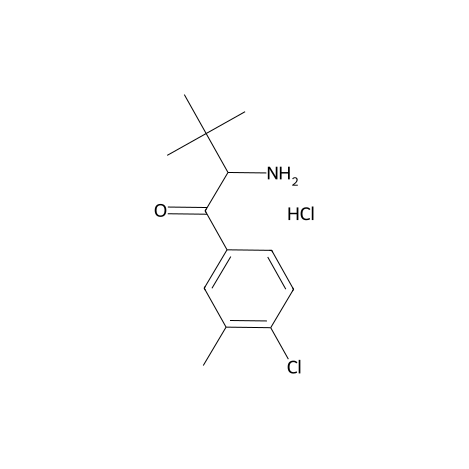 Cc1cc(C(=O)C(N)C(C)(C)C)ccc1Cl.Cl